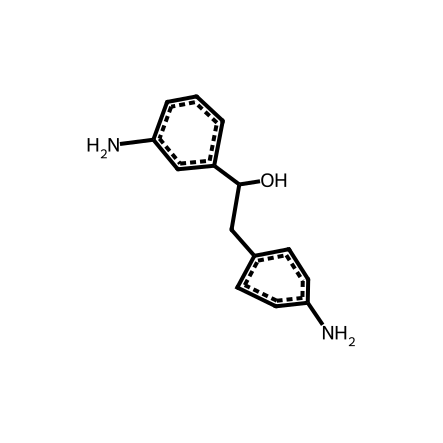 Nc1ccc(CC(O)c2cccc(N)c2)cc1